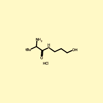 CC(C)(C)C(N)C(=O)NCCCO.Cl